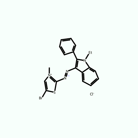 CCn1c(-c2ccccc2)c(/N=N/c2sc(Br)c[n+]2C)c2ccccc21.[Cl-]